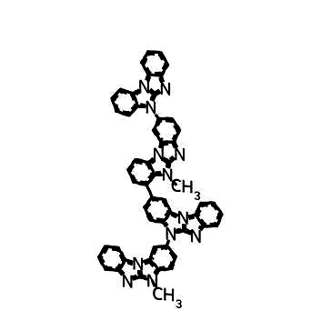 Cn1c2ccc(-n3c4ccc(-c5cccc6c5n(C)c5nc7ccc(-n8c9ccccc9n9c%10ccccc%10nc89)cc7n65)cc4n4c5ccccc5nc34)cc2n2c3ccccc3nc12